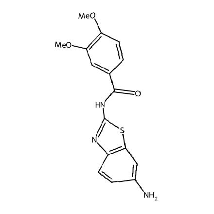 COc1ccc(C(=O)Nc2nc3ccc(N)cc3s2)cc1OC